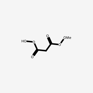 COOC(=O)CC(=O)OO